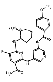 NC(=O)c1cc(F)c(NC2CCCC[C@@H]2N)nc1Nc1cncc(NC(=O)c2ccc(OC(F)(F)F)cc2)c1